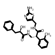 Cc1ccccc1[C@H](CNC(=O)[C@H](O)Cc1ccccc1)C(=O)NCc1cnc(N)s1